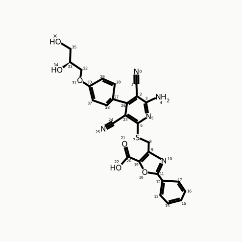 N#Cc1c(N)nc(SCc2nc(-c3ccccc3)oc2C(=O)O)c(C#N)c1-c1ccc(OC[C@@H](O)CO)cc1